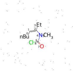 CCCCC=C(CC)N(C)C(=O)Cl